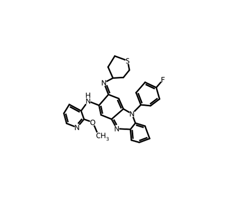 COc1ncccc1Nc1cc2nc3ccccc3n(-c3ccc(F)cc3)c-2c/c1=N\C1CCSCC1